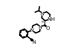 CC(C)N1CCN[C@@H](C(=O)N2CCN(c3ccccc3C#N)CC2)C1